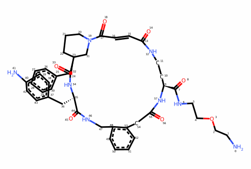 NCCOCCNC(=O)[C@@H]1CCNC(=O)/C=C/C(=O)N2CCC[C@](Cc3ccccc3)(C2)C(=O)N[C@@H](Cc2ccc(N)cc2)C(=O)NCc2ccccc2CC(=O)N1